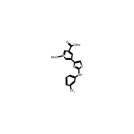 COC(=O)c1cc(-c2csc(Nc3cccc(C(F)(F)F)c3)n2)c[n+](OC)c1